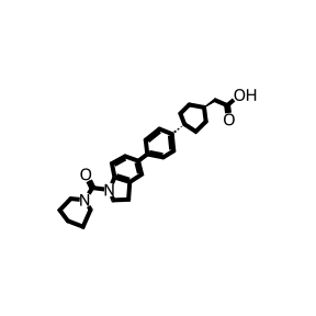 O=C(O)C[C@H]1CC[C@H](c2ccc(-c3ccc4c(c3)CCN4C(=O)N3CCCCC3)cc2)CC1